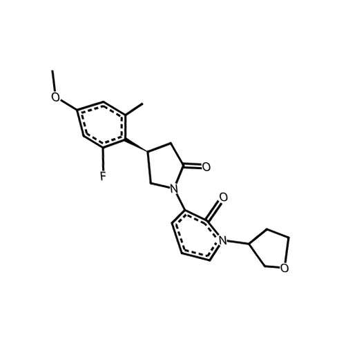 COc1cc(C)c([C@H]2CC(=O)N(c3cccn(C4CCOC4)c3=O)C2)c(F)c1